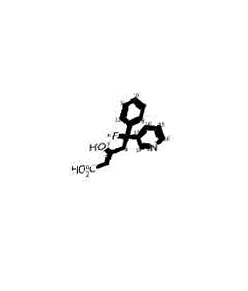 O=C(O)CC(O)CC(F)(c1ccccc1)c1cccnc1